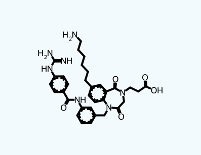 N=C(N)Nc1ccc(C(=O)Nc2cccc(CN3C(=O)CN(CCC(=O)O)C(=O)c4cc(CCCCCCN)ccc43)c2)cc1